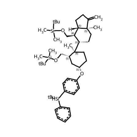 C=C1CC[C@H]2[C@H](CO[Si](C)(C)C(C)(C)C)[C@@H]([C@@]3(C)CC[C@H](Oc4ccc([SiH](c5ccccc5)C(C)(C)C)cc4)C[C@@H]3CO[Si](C)(C)C(C)(C)C)CC[C@]12C